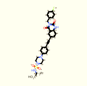 CC(C)[C@@H](NS(=O)(=O)N1CCN(c2ccc(C#Cc3ccc4[nH]c(=O)n(Cc5ccc(F)cc5)c(=O)c4c3)cc2)CC1)C(=O)O